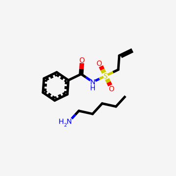 C=CCS(=O)(=O)NC(=O)c1ccccc1.CCCCCN